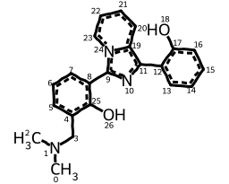 CN(C)Cc1cccc(-c2nc(-c3ccccc3O)c3ccccn23)c1O